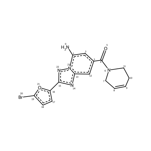 Nc1cc(C(=O)N2CC=CCC2)cc2nc(-c3ccc(Br)o3)nn12